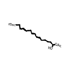 CCCCCCCCCCCCCCCCCCCCCCCC(O)OC(C)=O